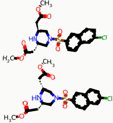 COC(=O)C[C@@H]1CN(S(=O)(=O)c2ccc3cc(Cl)ccc3c2)C[C@H](CC(=O)OC)N1.COC(=O)C[C@H]1CN(S(=O)(=O)c2ccc3cc(Cl)ccc3c2)C[C@H](CC(=O)OC)N1